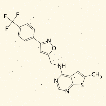 Cc1cc2c(NCc3cc(-c4ccc(C(F)(F)F)cc4)no3)ncnc2s1